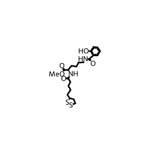 COC(=O)C(CCCCNC(=O)c1ccccc1O)NC(=O)CCCCC1CCSS1